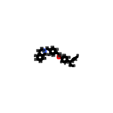 CC#CC(CC)c1ccc(OCc2ccc(CN3CCc4ccccc4C3)cc2)cc1